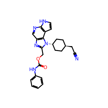 N#CC[C@H]1CC[C@H](n2c(COC(=O)Nc3ccccc3)nc3cnc4[nH]ccc4c32)CC1